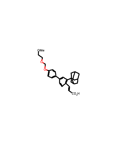 COCCOCOc1ccc(-c2ccc(/C=C/C(=O)O)c(C34CC5CC(CC(C5)C3)C4)c2)cc1